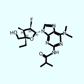 CC[C@]1(CO)O[C@@H](n2cnc3c(N(C)C)nc(NC(=O)C(C)C)nc32)[C@H](F)[C@@H]1C